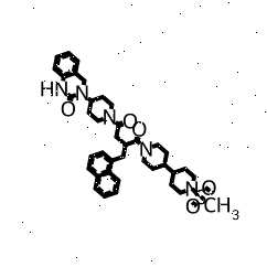 CS(=O)(=O)N1CCC(C2CCN(C(=O)C(CC(=O)N3CCC(N4Cc5ccccc5NC4=O)CC3)Cc3cccc4ccccc34)CC2)CC1